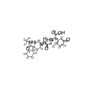 CC(C)(C)NC(=O)C1(C2CCCCC2)CCN(NC(=O)[C@@H](Cc2ccc(Cl)cc2)NCC(=O)O)CC1